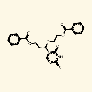 O=C(OCCO[C@@H](CCOC(=O)c1ccccc1)n1cnc(=S)[nH]c1=O)c1ccccc1